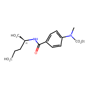 CCOC(=O)N(C)c1ccc(C(=O)N[C@@H](CCC(=O)O)C(=O)O)cc1